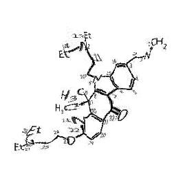 C=NCc1ccc2c3c(n(CCN(CC)CC)c2c1)C(C)(C)c1nc(OCCN(CC)CC)ccc1C3=O